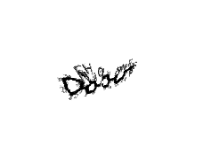 Cn1c2c(c3ccc(-n4ccc(-c5ccc(C(F)(F)F)nn5)cc4=O)cc31)CCCCC2